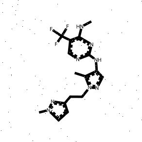 CNc1nc(Nc2cnn(CCc3ccn(C)n3)c2C)ncc1C(F)(F)F